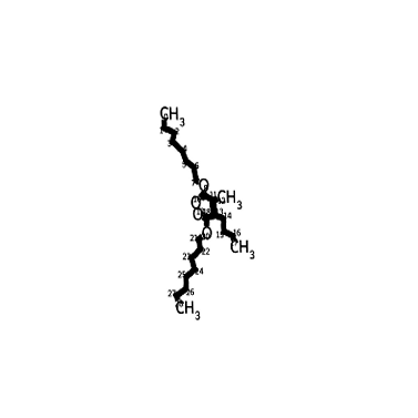 CCCCCCCCOC(=O)/C(C)=C(/CCCC)C(=O)OCCCCCCCC